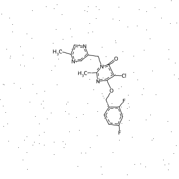 Cc1cnc(Cn2c(C)nc(OCc3ccc(F)cc3F)c(Cl)c2=O)cn1